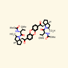 COC(=O)N[C@H](C(=O)N1C(C(=O)O)C[C@@H]2CCC[C@]21CC(=O)c1ccc2c(c1)Oc1ccc(C(=O)C[C@@]34CCC[C@H]3C[C@@H](C(=O)O)N4C(=O)[C@@H](NC(=O)OC)[C@@H](C)OC)cc1O2)[C@@H](C)OC